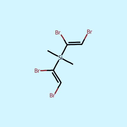 C[Si](C)(C(Br)=CBr)C(Br)=CBr